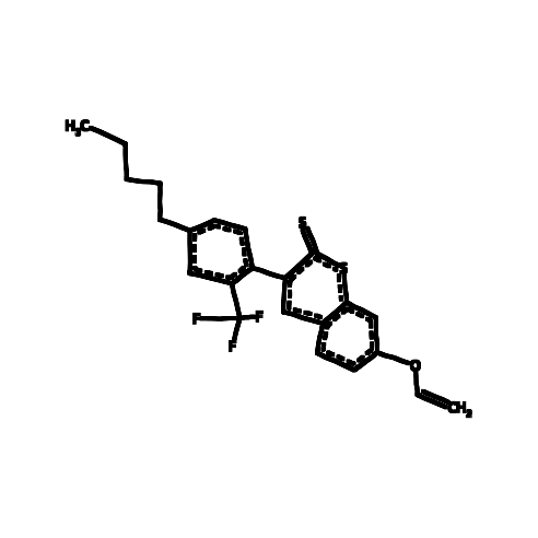 C=COc1ccc2cc(-c3ccc(CCCCC)cc3C(F)(F)F)c(=S)sc2c1